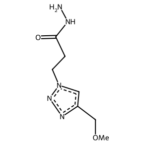 COCc1cn(CCC(=O)NN)nn1